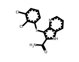 NC(=O)c1[nH]c2cccnc2c1Sc1cccc(Cl)c1Cl